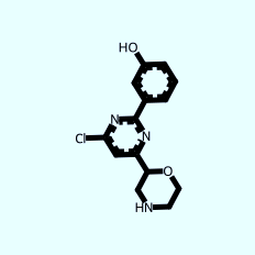 Oc1cccc(-c2nc(Cl)cc(C3CNCCO3)n2)c1